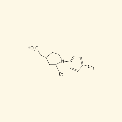 CCC1CC(CC(=O)O)CCN1c1ccc(C(F)(F)F)cc1